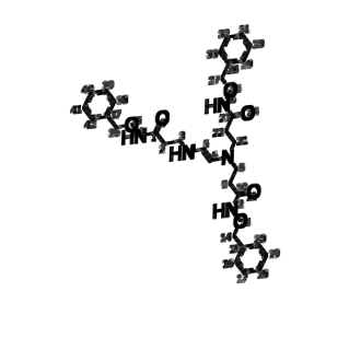 O=C(CCN/C=C/N(CCC(=O)NOCc1ccccc1)CCC(=O)NOCc1ccccc1)NOCc1ccccc1